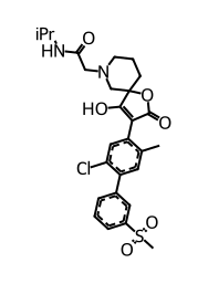 Cc1cc(-c2cccc(S(C)(=O)=O)c2)c(Cl)cc1C1=C(O)C2(CCCN(CC(=O)NC(C)C)C2)OC1=O